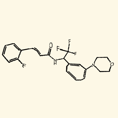 O=C(C=Cc1ccccc1F)NC(c1cccc(N2CCOCC2)c1)C(F)(F)F